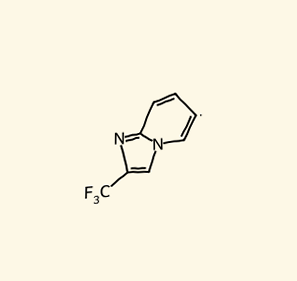 FC(F)(F)c1cn2c[c]ccc2n1